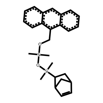 C[Si](C)(OCc1c2ccccc2cc2ccccc12)O[Si](C)(C)C1CC2C=CC1C2